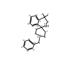 CC1(C)CNC2(CCN(Cc3ccccc3)CC2)c2ccccc21